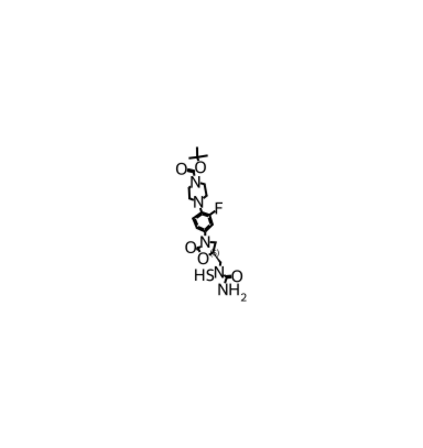 CC(C)(C)OC(=O)N1CCN(c2ccc(N3C[C@@H](CN(S)C(N)=O)OC3=O)cc2F)CC1